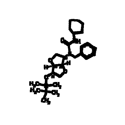 CC(C)(C)[Si](C)(C)O[C@@H]1CO[C@H]2[C@@H]1OC[C@@H]2N(Cc1ccccc1)C(=O)NC1CCCCC1